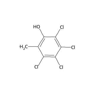 [CH2]c1c(O)c(Cl)c(Cl)c(Cl)c1Cl